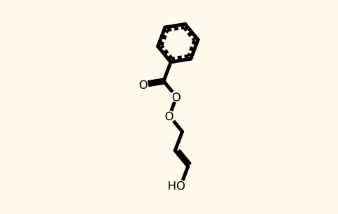 O=C(OOCC=CO)c1ccccc1